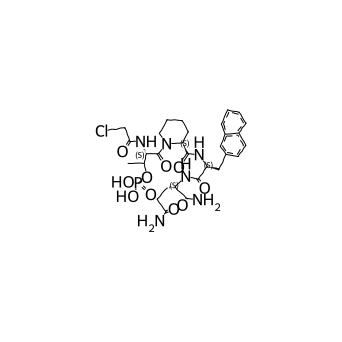 CC(OP(=O)(O)O)[C@H](NC(=O)CCl)C(=O)N1CCCC[C@H]1C(=O)N[C@@H](Cc1ccc2ccccc2c1)C(=O)N[C@@H](CCC(N)=O)C(N)=O